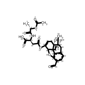 CC(=O)O[C@@H](C)C(=O)N[C@@H](CC(=O)OC1=CC[C@@]2(O)[C@H]3Cc4ccc(C=O)c5c4C2(CCN3C)C1O5)C(=O)O